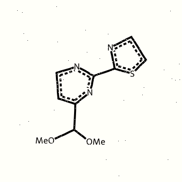 COC(OC)c1ccnc(-c2nccs2)n1